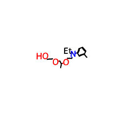 CCN(CCOC(C)COCCO)c1cccc(C)c1